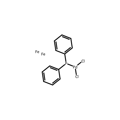 [Cl][Pd]([Cl])[P](c1ccccc1)c1ccccc1.[Fe].[Fe]